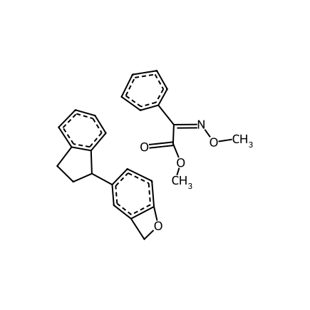 CON=C(C(=O)OC)c1ccccc1.c1ccc2c(c1)CCC2c1ccc2c(c1)CO2